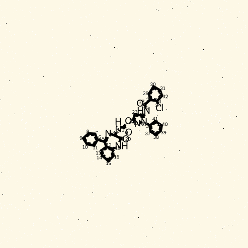 O=C(NC1N=C(c2ccccc2)c2ccccc2NC1=O)Oc1cc(NC(=O)c2ccccc2Cl)n(-c2ccccc2)n1